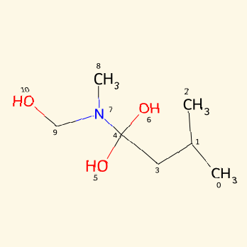 CC(C)CC(O)(O)N(C)CO